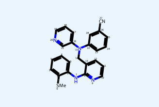 CSc1ccccc1Nc1ncccc1CN(c1cccnc1)c1cccc(C#N)c1